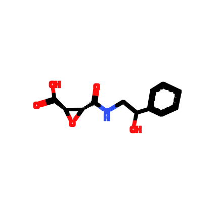 O=C(O)[C@@H]1O[C@H]1C(=O)NCC(O)c1ccccc1